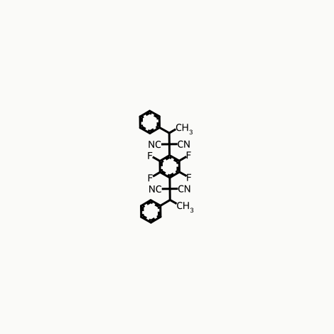 CC(c1ccccc1)C(C#N)(C#N)c1c(F)c(F)c(C(C#N)(C#N)C(C)c2ccccc2)c(F)c1F